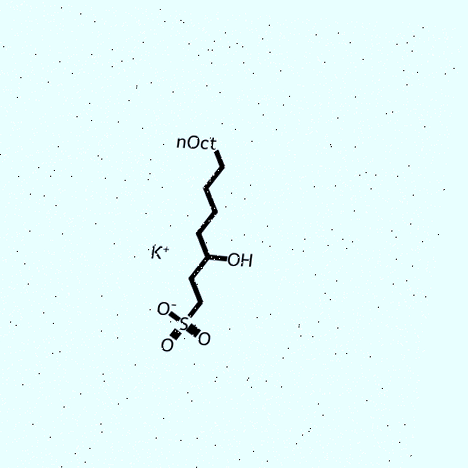 CCCCCCCCCCCCC(O)CCS(=O)(=O)[O-].[K+]